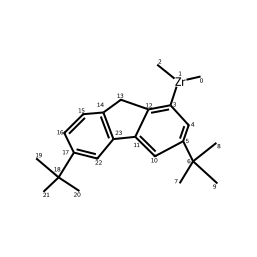 [CH3][Zr]([CH3])[c]1cc(C(C)(C)C)cc2c1Cc1ccc(C(C)(C)C)cc1-2